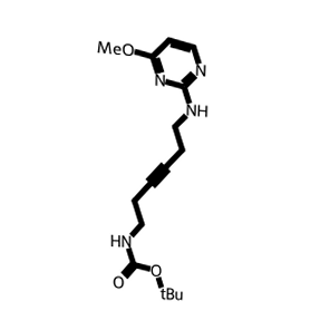 COc1ccnc(NCCC#CCCNC(=O)OC(C)(C)C)n1